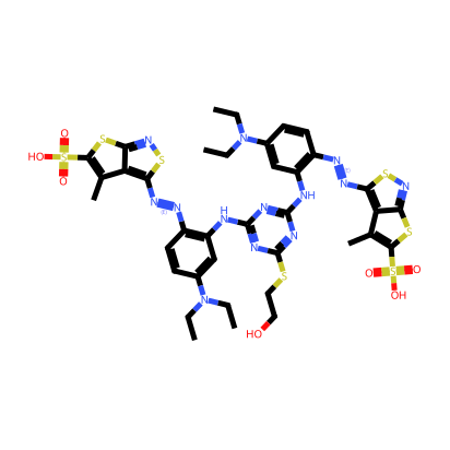 CCN(CC)c1ccc(/N=N/c2snc3sc(S(=O)(=O)O)c(C)c23)c(Nc2nc(Nc3cc(N(CC)CC)ccc3/N=N/c3snc4sc(S(=O)(=O)O)c(C)c34)nc(SCCO)n2)c1